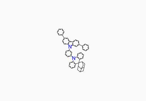 c1ccc(-c2ccc3c(c2)c2ccc(-c4ccccc4)cc2n3-c2cccc(N3c4ccccc4C4(c5ccccc53)C3CC5CC(C3)CC4C5)c2)cc1